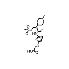 CC1CCC(N(CCS(C)(=O)=O)C(=O)Nc2ncc(SCC(=O)O)s2)CC1